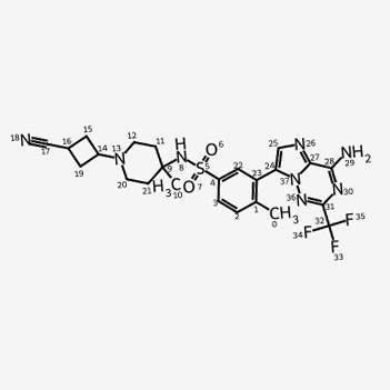 Cc1ccc(S(=O)(=O)NC2(C)CCN(C3CC(C#N)C3)CC2)cc1-c1cnc2c(N)nc(C(F)(F)F)nn12